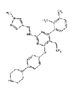 CCc1c(Oc2ccc(N3CCNCC3)cc2)nc(NSc2cnn(C)c2)nc1-c1cccc(C)c1C